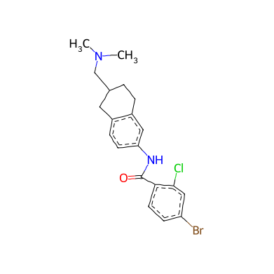 CN(C)CC1CCc2cc(NC(=O)c3ccc(Br)cc3Cl)ccc2C1